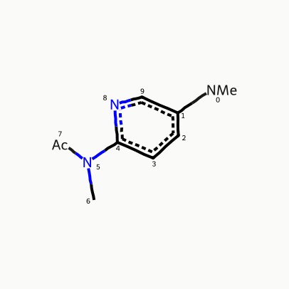 CNc1ccc(N(C)C(C)=O)nc1